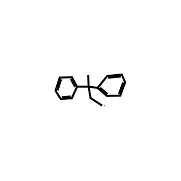 [CH2]CC(C)(c1ccccc1)c1ccccc1